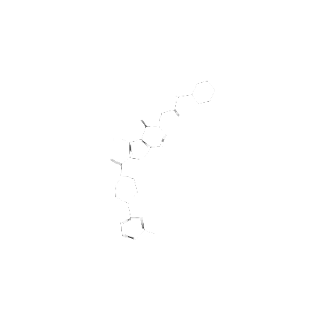 Cc1c(C(=O)N2CCN(c3cccc(Cl)c3)CC2)sc2ncn(CC(=O)NC3CCCCC3)c(=O)c12